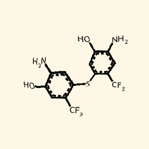 Nc1cc(C(F)(F)F)c(Sc2cc(N)c(O)cc2C(F)(F)F)cc1O